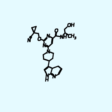 C[C@H](CO)NC(=O)c1cc(N2CCC(C3=CNC4=NC=CCC34)CC2)nc(OCC2(C#N)CC2)n1